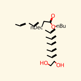 C=CC.C=CC.C=CC.C=CC.C=CC.C=CC.C=CC.CCCCCCCCCCCC(=O)OCCCC.OCCO